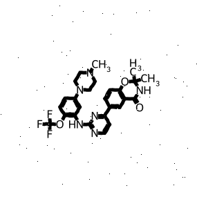 CN1CCN(c2ccc(OC(F)(F)F)c(Nc3nccc(-c4ccc5c(c4)C(=O)NC(C)(C)O5)n3)c2)CC1